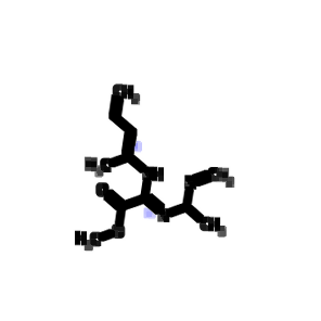 C=C/C=C(\C)N/C(=N\C(C)N=C)C(=O)OC